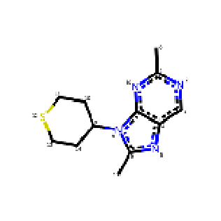 Cc1ncc2nc(C)n(C3CCSCC3)c2n1